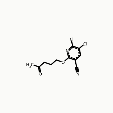 CC(=O)CCCOc1nc(Cl)c(Cl)cc1C#N